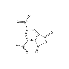 O=C1OC(=O)c2c1cc([N+](=O)[O-])cc2[N+](=O)[O-]